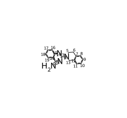 Nc1nc(N2CCc3ccccc3C2)nc2ccccc12